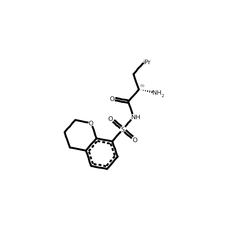 CC(C)C[C@H](N)C(=O)NS(=O)(=O)c1cccc2c1OCCC2